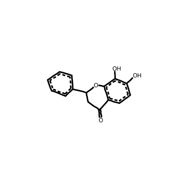 O=C1CC(c2ccccc2)Oc2c1ccc(O)c2O